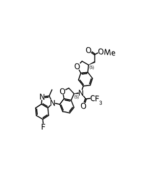 COC(=O)C[C@@H]1COc2cc(N(C(=O)C(F)(F)F)[C@@H]3COc4c3cccc4-n3c(C)nc4ccc(F)cc43)ccc21